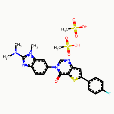 CN(C)c1nc2ccc(-n3cnc4cc(-c5ccc(F)cc5)sc4c3=O)cc2n1C.CS(=O)(=O)O.CS(=O)(=O)O